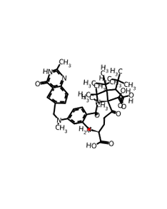 Cc1nc2ccc(CN(C)c3ccc(C(=O)N(C)[C@@](C(=O)O)(C(=O)CC[C@H](N)C(=O)O)C(C(C(=O)O)C(C)(C)C)(C(C)(C)C)C(C)(C)C)c(F)c3)cc2c(=O)[nH]1